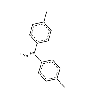 Cc1ccc(Pc2ccc(C)cc2)cc1.[NaH]